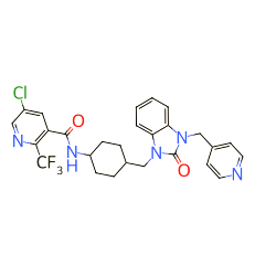 O=C(NC1CCC(Cn2c(=O)n(Cc3ccncc3)c3ccccc32)CC1)c1cc(Cl)cnc1C(F)(F)F